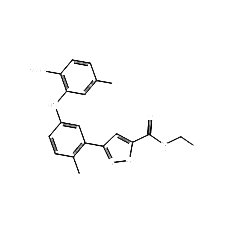 COc1ccc(C(C)(C)C)cc1Nc1ccc(C)c(-c2cc(C(=O)NCC(C)(C)C)[nH]n2)c1